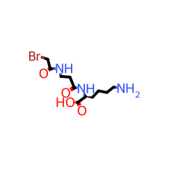 NCCCC[C@H](NC(=O)CCNC(=O)CBr)C(=O)O